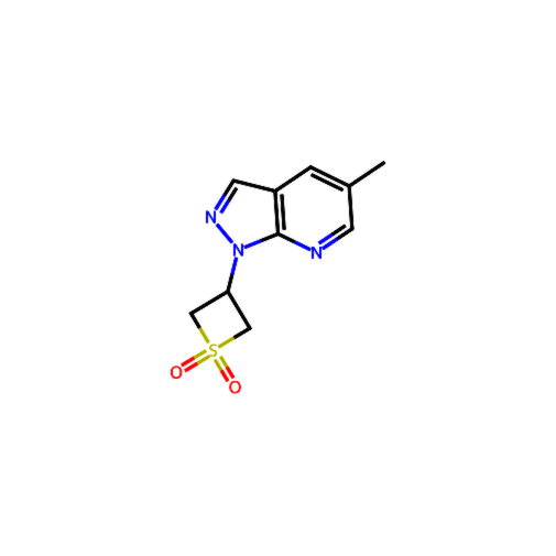 Cc1cnc2c(cnn2C2CS(=O)(=O)C2)c1